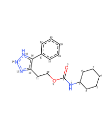 O=C(NC1CCCCC1)OCCc1nn[nH]c1-c1ccccc1